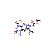 CCOC(=O)Cn1cnc(C=C2NC(=O)CN(C(C)=O)C2=O)c1C(C)C